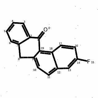 O=C1c2ccccc2Cc2ccc3cc(F)ccc3c21